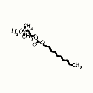 CCCCCCCCCCOC(=O)OCC[Si](C)(C)C